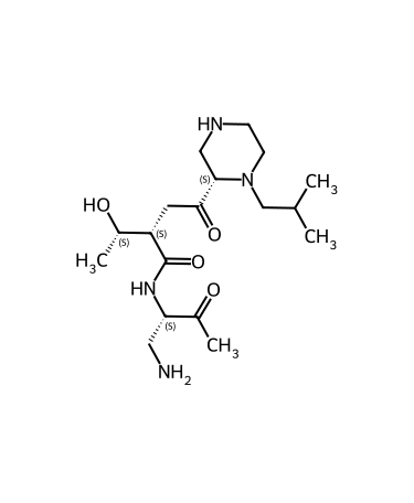 CC(=O)[C@H](CN)NC(=O)[C@@H](CC(=O)[C@@H]1CNCCN1CC(C)C)[C@H](C)O